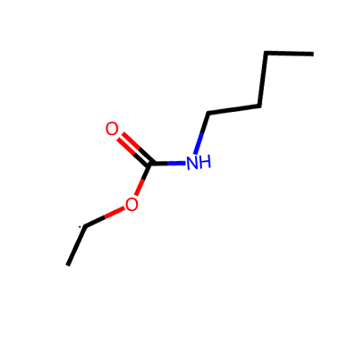 C[CH]OC(=O)NCCCC